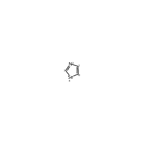 [c]1cnc[se]1